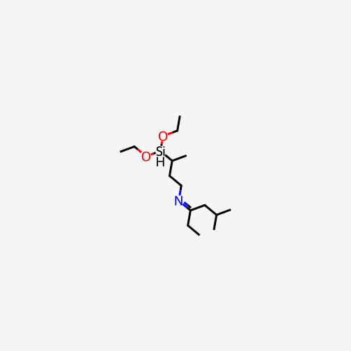 CCO[SiH](OCC)C(C)CCN=C(CC)CC(C)C